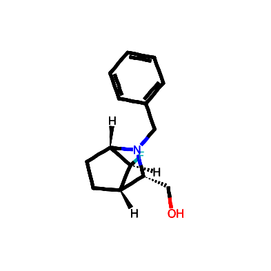 OC[C@@H]1[C@@H]2CC[C@@H]([C@H]2F)N1Cc1ccccc1